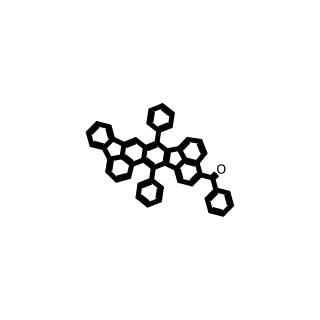 O=C(c1ccccc1)c1ccc2c3c(-c4ccccc4)c4c(cc5c6ccccc6c6cccc4c65)c(-c4ccccc4)c3c3cccc1c32